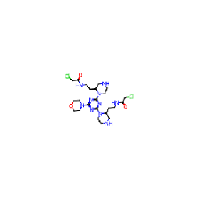 O=C(CCl)NCCC1CNCCN1c1nc(N2CCOCC2)nc(N2CCNCC2CCNC(=O)CCl)n1